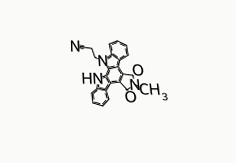 CN1C(=O)c2c(c3c4ccccc4n(CCC#N)c3c3[nH]c4ccccc4c23)C1=O